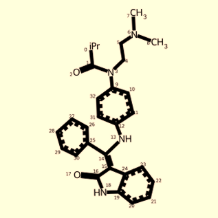 CC(C)C(=O)N(CCN(C)C)c1ccc(NC(=C2C(=O)Nc3ccccc32)c2ccccc2)cc1